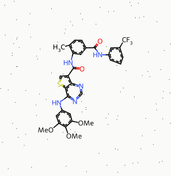 COc1cc(Nc2ncnc3c(C(=O)Nc4cc(C(=O)Nc5cccc(C(F)(F)F)c5)ccc4C)csc23)cc(OC)c1OC